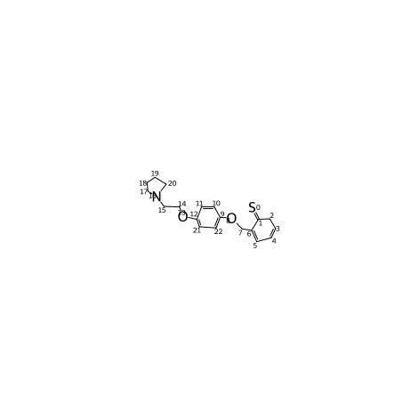 S=C1CC=CC=C1COc1ccc(OCCN2CCCC2)cc1